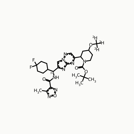 [2H]C([2H])([2H])OC1CCN(C(=O)OC(C)(C)C)C(c2cnn3cc([C@@H](NC(=O)c4nonc4C)C4CCC(F)(F)CC4)nc3n2)C1